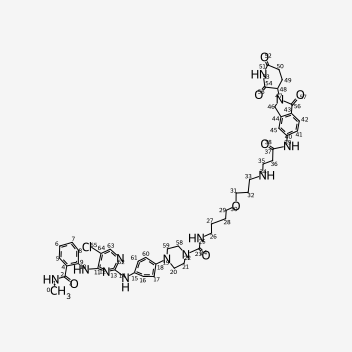 CNC(=O)c1ccccc1Nc1nc(Nc2ccc(N3CCN(C(=O)NCCCCOCCCNCCC(=O)Nc4ccc5c(c4)CN(C4CCC(=O)NC4=O)C5=O)CC3)cc2)ncc1Cl